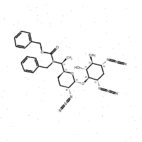 CC(=O)O[C@@H]1[C@@H](O)[C@H](O[C@H]2O[C@H]([C@H](C)N(Cc3ccccc3)C(=O)OCc3ccccc3)CC[C@H]2N=[N+]=[N-])[C@@H](N=[N+]=[N-])C[C@H]1N=[N+]=[N-]